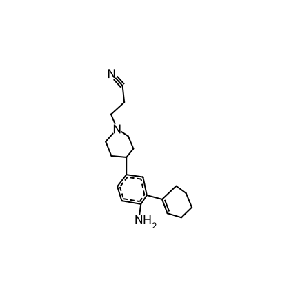 N#CCCN1CCC(c2ccc(N)c(C3=CCCCC3)c2)CC1